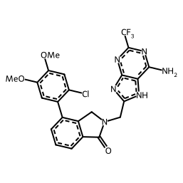 COc1cc(Cl)c(-c2cccc3c2CN(Cc2nc4nc(C(F)(F)F)nc(N)c4[nH]2)C3=O)cc1OC